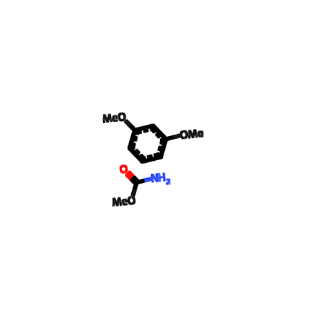 COC(N)=O.COc1cccc(OC)c1